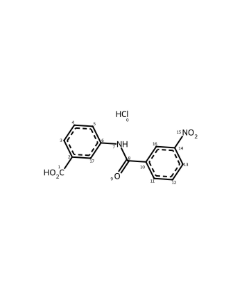 Cl.O=C(O)c1cccc(NC(=O)c2cccc([N+](=O)[O-])c2)c1